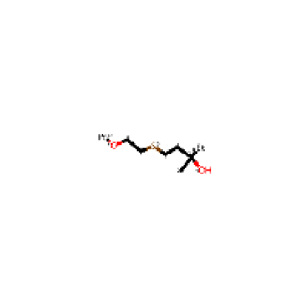 CCC(C)(O)CCSCCOC(C)C